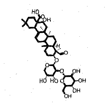 CC1(C)CCC2(C(=O)O)C(C1)C1=CCC3C4(C)CC[C@H](O[C@@H]5OC[C@@H](O)[C@@H](O)C5O[C@@H]5OC(CO)[C@@H](O)[C@H](O)C5O)[C@](C)(C=O)[C@@H]4CC[C@]3(C)[C@]1(C)C[C@@H]2O